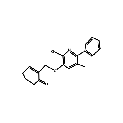 Cc1cc(OCC2=CCCCC2=O)c(Cl)nc1-c1ccccc1